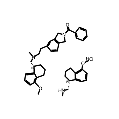 CNC[C@@H]1CCCc2c(OC)cccc21.COc1cccc2c1CCC[C@H]2CN(C)CCc1ccc2c(c1)CN(C(=O)c1ccccc1)C2.Cl